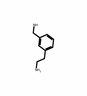 [NH]Cc1cccc(CCN)c1